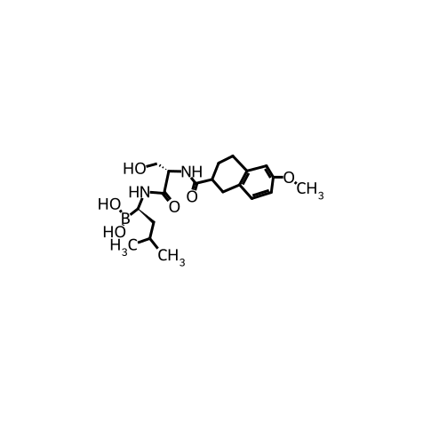 COc1ccc2c(c1)CCC(C(=O)N[C@@H](CO)C(=O)N[C@@H](CC(C)C)B(O)O)C2